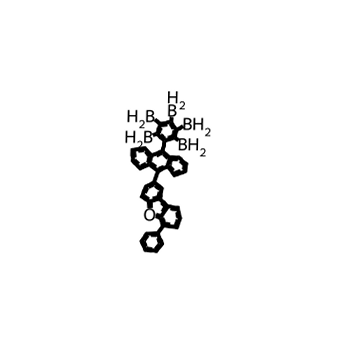 Bc1c(B)c(B)c(-c2c3ccccc3c(-c3ccc4oc5c(-c6ccccc6)cccc5c4c3)c3ccccc23)c(B)c1B